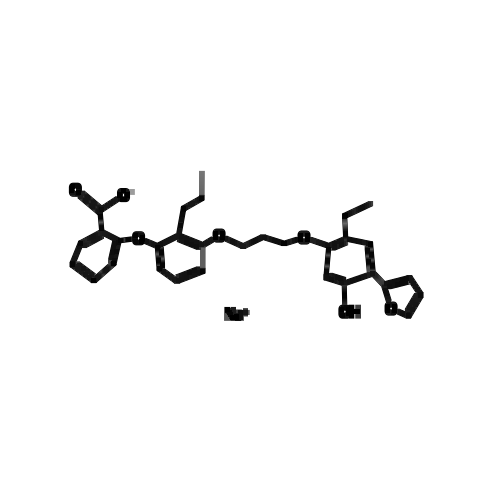 CCCc1c(OCCCOc2cc(O)c(-c3ccco3)cc2CC)cccc1Oc1ccccc1C(=O)[O-].[Na+]